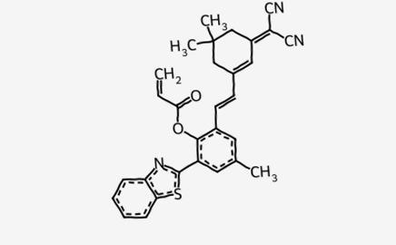 C=CC(=O)Oc1c(C=CC2=CC(=C(C#N)C#N)CC(C)(C)C2)cc(C)cc1-c1nc2ccccc2s1